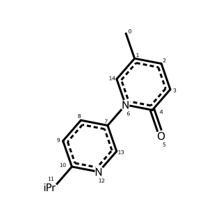 Cc1ccc(=O)n(-c2ccc(C(C)C)nc2)c1